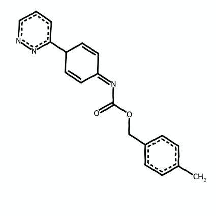 Cc1ccc(COC(=O)N=C2C=CC(c3cccnn3)C=C2)cc1